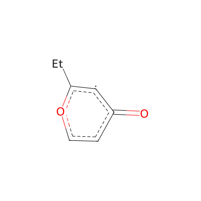 CCc1[c]c(=O)cco1